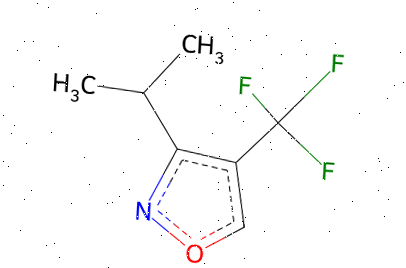 CC(C)c1nocc1C(F)(F)F